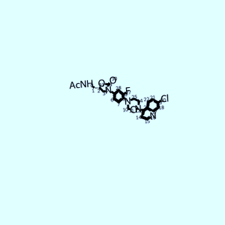 CC(=O)NC[C@H]1CN(c2ccc(N3CCN(c4ccnc5cc(Cl)ccc45)CC3)c(F)c2)C(=O)O1